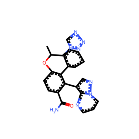 CC(Cn1cnnn1)Oc1ccc(C(N)=O)c(-c2cnn3cccnc23)c1-c1ccccc1